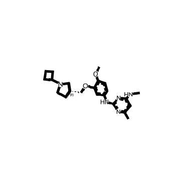 CNc1cc(C)nc(Nc2ccc(OC)c(OC[C@@H]3CCN(C4CCC4)C3)c2)n1